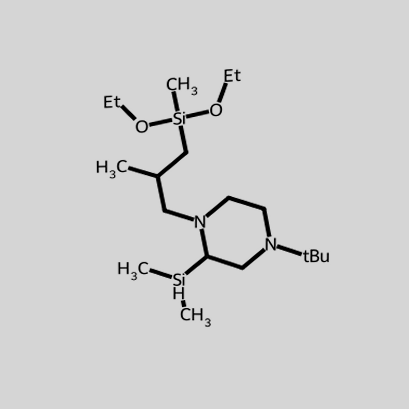 CCO[Si](C)(CC(C)CN1CCN(C(C)(C)C)CC1[SiH](C)C)OCC